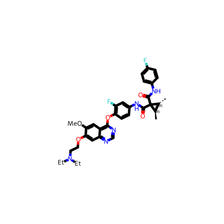 CCN(CC)CCOc1cc2ncnc(Oc3ccc(NC(=O)C4(C(=O)Nc5ccc(F)cc5)[C@H](C)[C@H]4C)cc3F)c2cc1OC